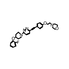 Fc1ccccc1OC1CCN(c2ccc(C#Cc3ccc(OCCN4CCOCC4)cc3)nn2)CC1